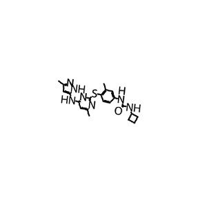 Cc1cc(Nc2cc(C)nc(Sc3ccc(NC(=O)NC4CCC4)cc3C)n2)[nH]n1